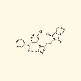 O=C1c2ccccc2C(=O)N1CCc1nnc2n1-c1cc(Cl)ccc1C(c1ccccc1)=NC2